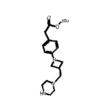 CC(C)(C)OC(=O)Cc1ccc(N2CC(CN3CCNCC3)C2)cc1